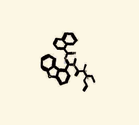 C=CC[C@H](CC)[C@H](C)C(=C)N(C)/C(=N\C(=N)c1cccc2ccccc12)c1cccc2oc3ccccc3c12